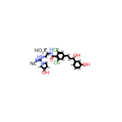 N#C/N=C(/NC[C@H](NC(=O)c1c(Cl)cc(CCC(O)c2cccc(O)c2)cc1Cl)C(=O)O)N1CC[C@H](O)C1